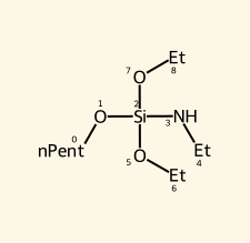 CCCCCO[Si](NCC)(OCC)OCC